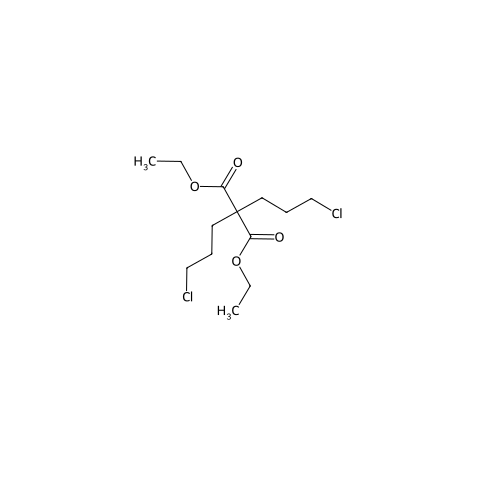 CCOC(=O)C(CCCCl)(CCCCl)C(=O)OCC